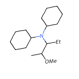 CCC(C(C)OC)N(C1CCCCC1)C1CCCCC1